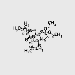 CCOC1(OCC)CCN(C(=O)[C@H](CC(C)C)N2CCN[C@@H](CC(C)C)C2=O)CC1